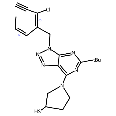 C#C/C(Cl)=C(\C=C/C)Cn1nnc2c(N3CCC(S)C3)nc(C(C)(C)C)nc21